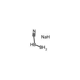 BBC#N.[NaH]